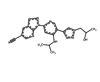 CC(O)Cn1cc(-c2cnc(-n3ncc4cc(C#N)cnc43)cc2NC(C)C)nn1